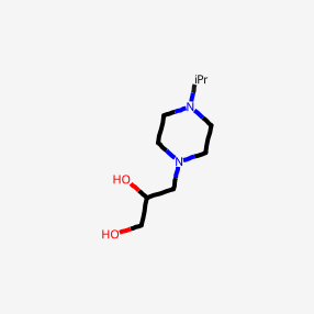 CC(C)N1CCN(CC(O)CO)CC1